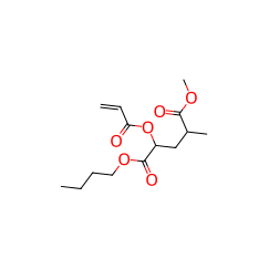 C=CC(=O)OC(CC(C)C(=O)OC)C(=O)OCCCC